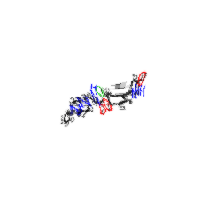 O=C(COc1ccc(C2=NNC(=O)CC2)cc1Cl)NCCN1CCN(c2ccccc2)CC1